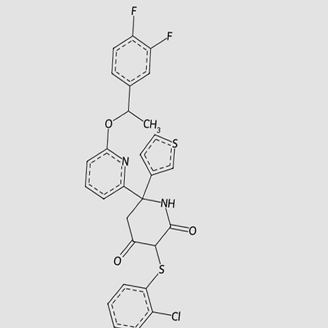 CC(Oc1cccc(C2(c3ccsc3)CC(=O)C(Sc3ccccc3Cl)C(=O)N2)n1)c1ccc(F)c(F)c1